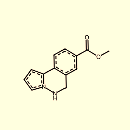 COC(=O)c1ccc2c(c1)CNn1cccc1-2